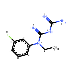 CCN(C(=N)NC(=N)N)c1cccc(F)c1